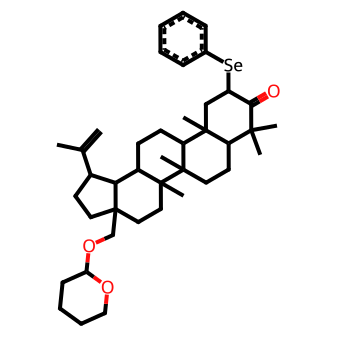 C=C(C)C1CCC2(COC3CCCCO3)CCC3(C)C(CCC4C5(C)CC([Se]c6ccccc6)C(=O)C(C)(C)C5CCC43C)C12